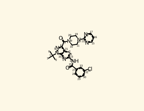 CC(C)(C)n1nc(C(=O)N2CCN(c3ncccn3)CC2)c2sc(NC(=O)c3cccc(Cl)c3)nc21